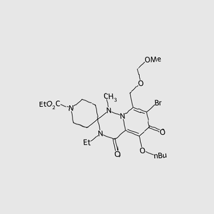 CCCCOc1c2n(c(COCOC)c(Br)c1=O)N(C)C1(CCN(C(=O)OCC)CC1)N(CC)C2=O